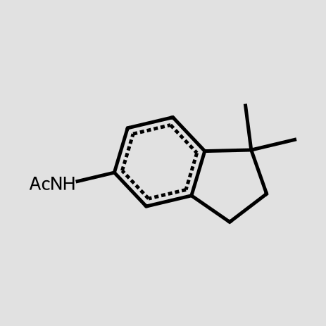 CC(=O)Nc1ccc2c(c1)CCC2(C)C